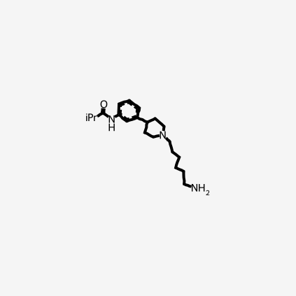 CC(C)C(=O)Nc1cccc(C2CCN(CCCCCCN)CC2)c1